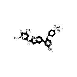 Cc1cc(-c2ccn3nc(Nc4cc(C)c(=O)n(C)n4)cc3c2)c(O[C@H]2CC[C@@H](S(C)(=O)=O)CC2)cn1